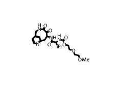 COCCOCCOC(=O)NC(C(=O)NC1Cc2cc(ccn2)CNC(=O)C1=O)C(C)C